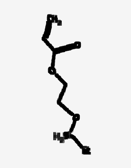 C=CC(=O)OCCO[SiH2]CC